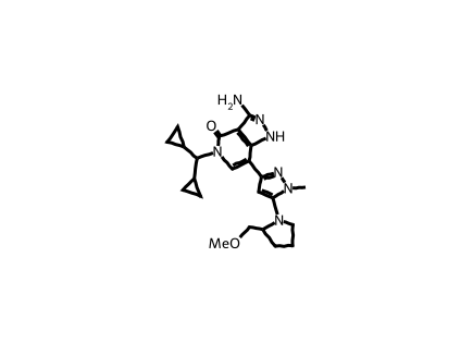 COCC1CCCN1c1cc(-c2cn(C(C3CC3)C3CC3)c(=O)c3c(N)n[nH]c23)nn1C